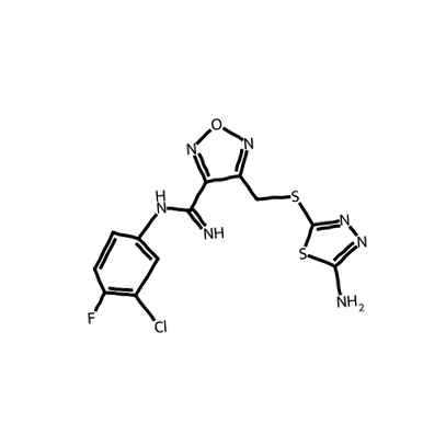 N=C(Nc1ccc(F)c(Cl)c1)c1nonc1CSc1nnc(N)s1